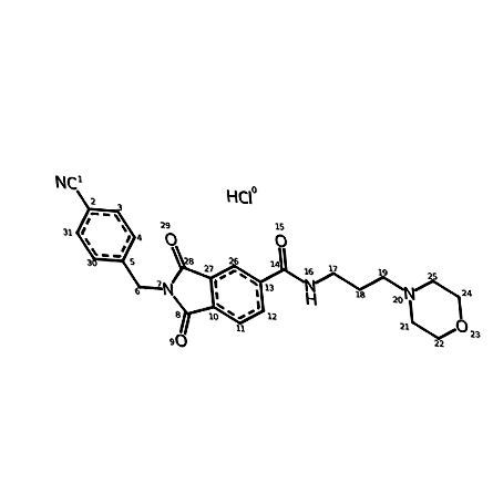 Cl.N#Cc1ccc(CN2C(=O)c3ccc(C(=O)NCCCN4CCOCC4)cc3C2=O)cc1